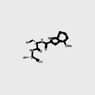 C#C[C@H](CCC)NC(=O)[C@H](CC(C)C)NC(=O)c1cc2c(OC)cccc2[nH]1